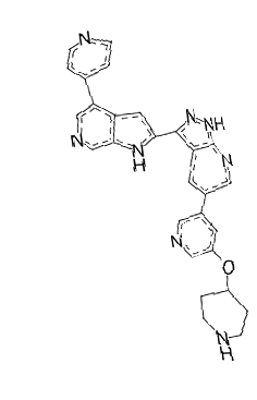 c1cc(-c2cncc3[nH]c(-c4n[nH]c5ncc(-c6cncc(OC7CCNCC7)c6)cc45)cc23)ccn1